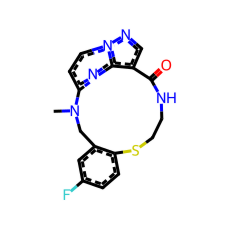 CN1Cc2cc(F)ccc2SCCNC(=O)c2cnn3ccc1nc23